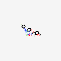 C[C@H](NC(=O)C(F)(F)F)[C@@H](Oc1ccc2c(cnn2-c2ccc(F)cc2)c1)c1ccc2c(c1)OCC2